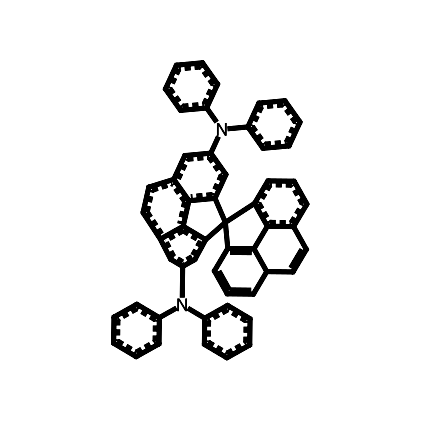 C1=CC2=C3c4c(cccc4C24c2cc(N(c5ccccc5)c5ccccc5)cc5ccc6cc(N(c7ccccc7)c7ccccc7)cc4c6c25)C=CC3C=1